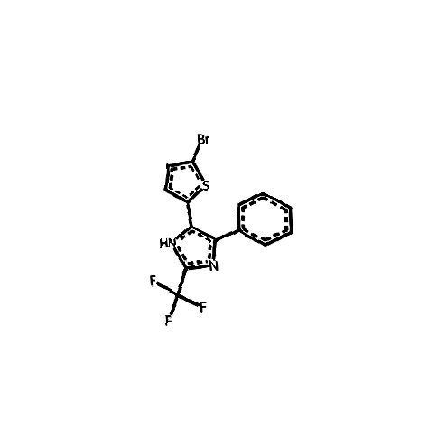 FC(F)(F)c1nc(-c2ccccc2)c(-c2ccc(Br)s2)[nH]1